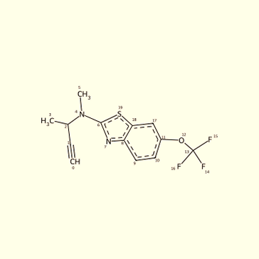 C#CC(C)N(C)c1nc2ccc(OC(F)(F)F)cc2s1